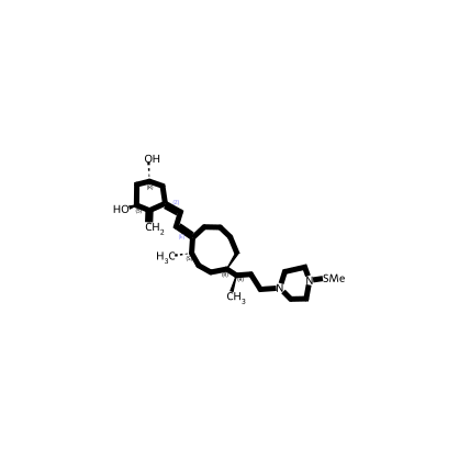 C=C1/C(=C\C=C2/CCCC[C@@H]([C@H](C)CCN3CCN(SC)CC3)CC[C@@H]2C)C[C@@H](O)C[C@@H]1O